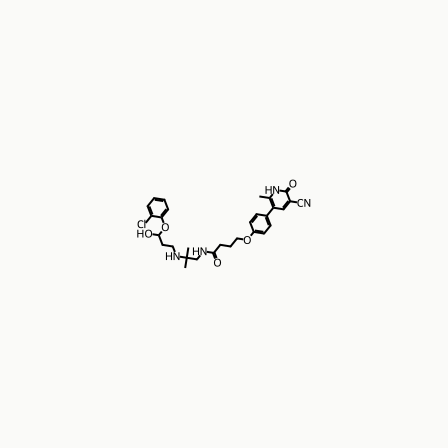 Cc1[nH]c(=O)c(C#N)cc1-c1ccc(OCCCC(=O)NCC(C)(C)NCCC(O)Oc2ccccc2Cl)cc1